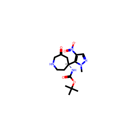 Cn1ncc([N+](=O)[O-])c1[C@@]1(NC(=O)OC(C)(C)C)CCNCC(=O)C1